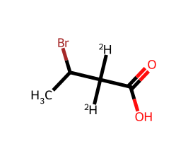 [2H]C([2H])(C(=O)O)C(C)Br